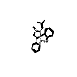 CC(C)=C[C@@H]1N(C)C[C@H](c2ccccc2)[C@@]12C(=O)Nc1ccccc12